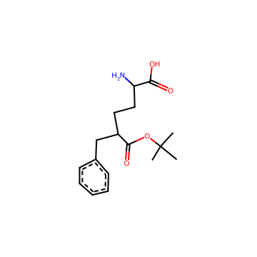 CC(C)(C)OC(=O)C(CCC(N)C(=O)O)Cc1ccccc1